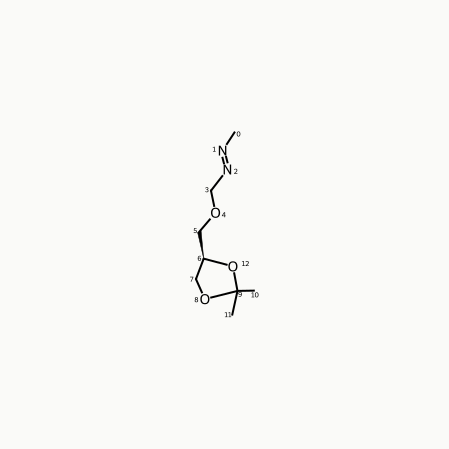 C/N=N/COC[C@@H]1COC(C)(C)O1